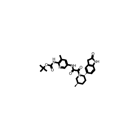 Cc1cc(NC(=O)C(=O)N2C[C@H](C)CC[C@H]2c2ccc3c(c2)CC(=O)N3)cnc1NC(=O)OC(C)(C)C